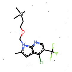 Cc1cc2c(Cl)c(C(F)(F)F)cnc2n1COCC[Si](C)(C)C